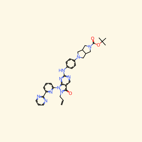 C=CCn1c(=O)c2cnc(Nc3ccc(N4CC5CN(C(=O)OC(C)(C)C)CC5C4)cc3)nc2n1-c1cccc(-c2ncccn2)n1